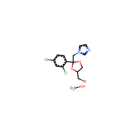 Clc1ccc(C2(Cn3ccnc3)OCC(CBr)O2)c(Cl)c1.O=[N+]([O-])O